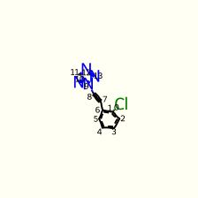 Clc1ccccc1C#Cn1ncnn1